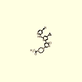 CC(=O)N1CCCN(c2cncc(-c3cc(C4CC4)cc(Nc4cc(C#N)ccn4)n3)c2)CC1.Cl